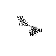 O=C(NCCCCCSc1ccc(Cl)c(COC2(c3cnccc3-c3ccccc3OC3CC3)CC2)c1)N[C@@H](CO)[C@@H](O)[C@H](O)[C@H](O)CO